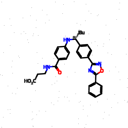 CCC(C)[C@@H](Nc1ccc(C(=O)NCCC(=O)O)cc1)c1ccc(-c2noc(-c3ccccc3)n2)cc1